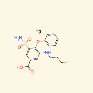 CCCCNc1cc(C(=O)O)cc(S(N)(=O)=O)c1Oc1ccccc1.[Hg]